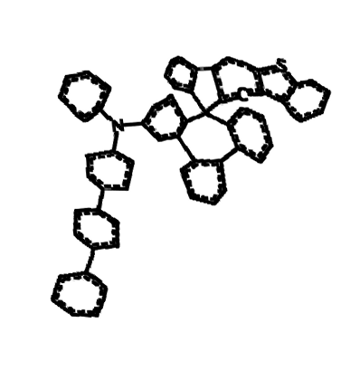 c1ccc(-c2ccc(-c3ccc(N(c4ccccc4)c4ccc5c(c4)-c4ccccc4-c4ccccc4C54c5ccccc5-c5cc6sc7ccccc7c6cc54)cc3)cc2)cc1